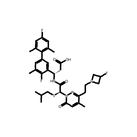 Cc1cc(=O)n([C@@H](SCC(C)C)C(=O)N[C@@H](CC(=O)O)c2cc(-c3c(C)cc(F)cc3C)cc(C)c2F)nc1CCN1CC(F)C1